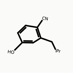 CC(C)Cc1cc(O)ccc1C#N